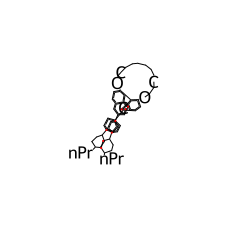 CCCC1CCC(c2ccc(-c3ccc4c5c(ccc4c3)OCCCCCCCCCCCOc3ccc4cc(-c6ccc(C7CCC(CCC)CC7)cc6)ccc4c3-5)cc2)CC1